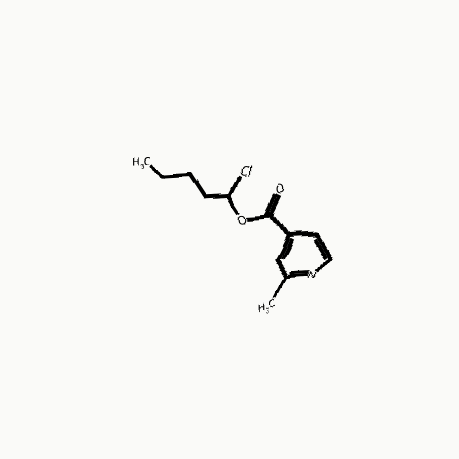 CCCCC(Cl)OC(=O)c1ccnc(C)c1